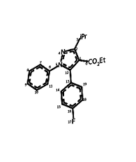 CCOC(=O)c1c(C(C)C)nn(-c2ccccc2)c1-c1ccc(F)cc1